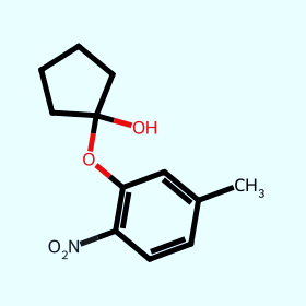 Cc1ccc([N+](=O)[O-])c(OC2(O)CCCC2)c1